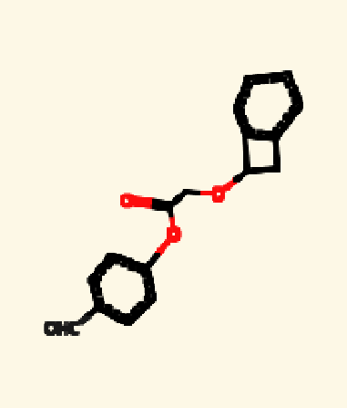 O=Cc1ccc(OC(=O)COC2Cc3ccccc32)cc1